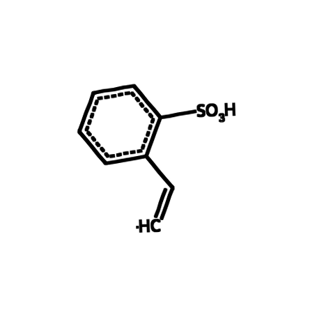 [CH]=Cc1ccccc1S(=O)(=O)O